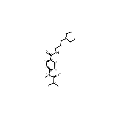 CCN(CC)CCCNC(=O)c1ccc(N(C)C(=O)C(C)C)cc1